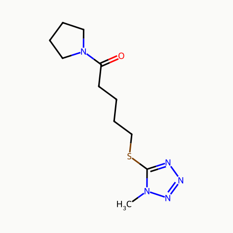 Cn1nnnc1SCCCCC(=O)N1CCCC1